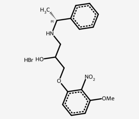 Br.COc1cccc(OCC(O)CN[C@H](C)c2ccccc2)c1[N+](=O)[O-]